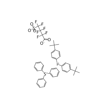 CC(C)(C)c1ccc([I+]c2ccc(C(C)(C)C)cc2)cc1.O=C([O-])C(F)(F)C(F)(F)C(F)(F)S(=O)(=O)[O-].c1ccc([S+](c2ccccc2)c2ccccc2)cc1